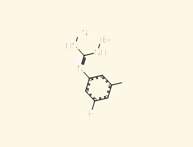 CC(C)(C)N/C(=N\c1cc(F)cc(F)c1)NC#N